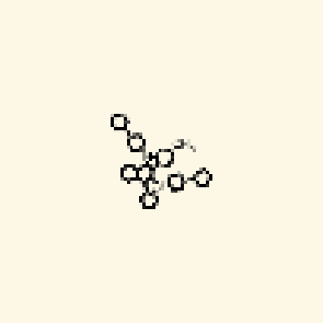 CC1C=Cc2c(n(-c3ccc(-c4ccccc4)cc3)c3c4ccccc4c4c5ccccc5n(-c5ccc(-c6ccccc6)cc5)c4c23)C1